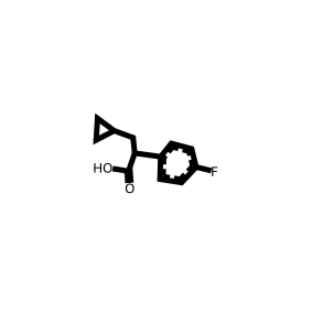 O=C(O)C(CC1CC1)c1ccc(F)cc1